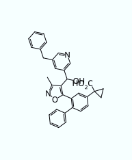 Cc1noc(-c2cc(C3(C(=O)O)CC3)ccc2-c2ccccc2)c1C(O)c1cncc(Cc2ccccc2)c1